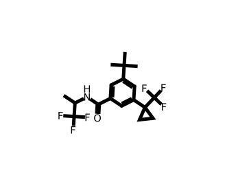 CC(NC(=O)c1cc(C(C)(C)C)cc(C2(C(F)(F)F)CC2)c1)C(F)(F)F